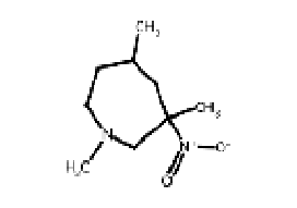 CC1CCN(C)CC(C)([N+](=O)[O-])C1